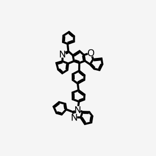 c1ccc(-c2nc3ccccc3c3c(-c4ccc(-c5ccc(-n6c(-c7ccccc7)nc7ccccc76)cc5)cc4)c4c(cc23)oc2ccccc24)cc1